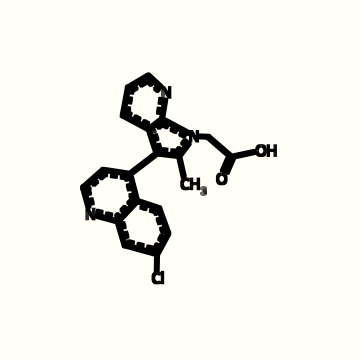 Cc1c(-c2ccnc3cc(Cl)ccc23)c2cccnc2n1CC(=O)O